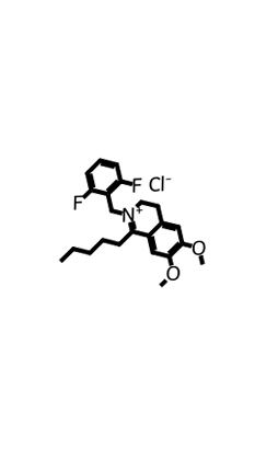 CCCCCC1=[N+](Cc2c(F)cccc2F)CCc2cc(OC)c(OC)cc21.[Cl-]